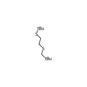 CC(C)(C)CSCCSC(C)(C)C